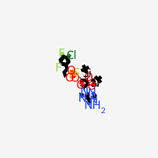 CC(C)(C)[Si](C)(C)O[C@@H]1[C@H](O[Si](C)(C)C(C)(C)C)[C@@H](COP2(=S)OCCC(c3cc(Cl)c(F)cc3F)O2)O[C@H]1n1cnc2c(N)ncnc21